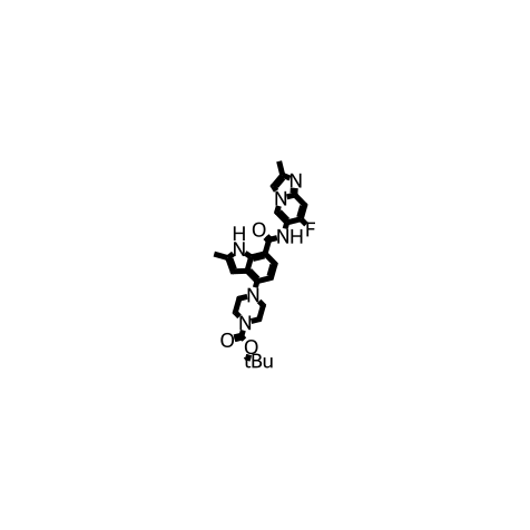 Cc1cn2cc(NC(=O)c3ccc(N4CCN(C(=O)OC(C)(C)C)CC4)c4cc(C)[nH]c34)c(F)cc2n1